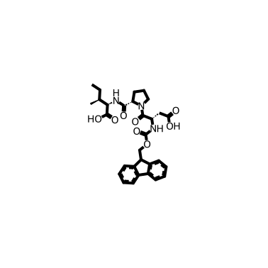 CC[C@H](C)[C@H](NC(=O)[C@@H]1CCCN1C(=O)[C@H](CC(=O)O)NC(=O)OCC1c2ccccc2-c2ccccc21)C(=O)O